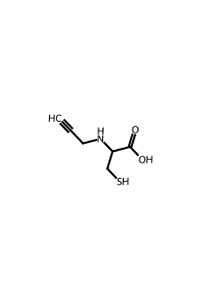 C#CCNC(CS)C(=O)O